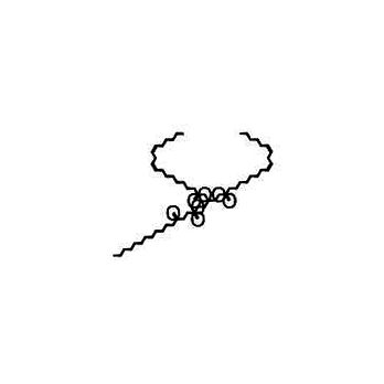 CCCCC/C=C\C/C=C\CCCCCCCC(=O)OCC(COC(=O)CCC(=O)CCCCCCCCCCCC)OC(=O)CCCCCCC/C=C\C/C=C\CCCCC